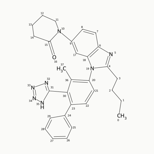 CCCCc1nc2ccc(N3CCCCC3=O)cc2n1-c1ccc(-c2ccccc2)c(-c2nnn[nH]2)c1C